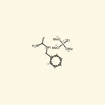 CC(N)NCc1ccccc1.CC[Si](OC)(OC)OC